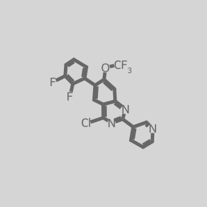 Fc1cccc(-c2cc3c(Cl)nc(-c4cccnc4)nc3cc2OC(F)(F)F)c1F